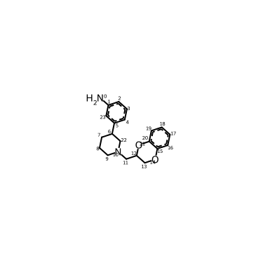 Nc1cccc(C2CCCN(CC3COc4ccccc4O3)C2)c1